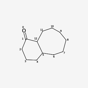 O=C1CCCC2CCCCCCC12